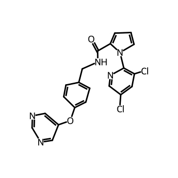 O=C(NCc1ccc(Oc2cncnc2)cc1)c1cccn1-c1ncc(Cl)cc1Cl